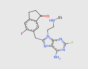 CCNCCn1c(Cc2cc3c(cc2I)CCC3=O)nc2c(N)nc(F)nc21